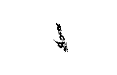 Cc1ccc2oc(C3CCN(c4nc5nncn5c5ccc(C#N)cc45)CC3)nc2c1